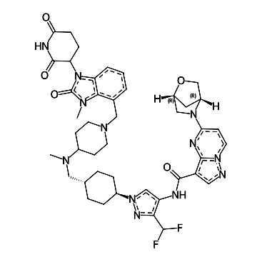 CN(C[C@H]1CC[C@H](n2cc(NC(=O)c3cnn4ccc(N5C[C@H]6C[C@@H]5CO6)nc34)c(C(F)F)n2)CC1)C1CCN(Cc2cccc3c2n(C)c(=O)n3C2CCC(=O)NC2=O)CC1